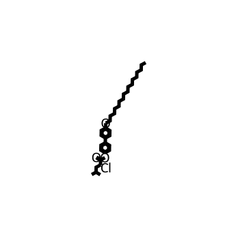 CCCCCCCCCCCCCCCCCOc1ccc(-c2ccc(OC(=O)C(Cl)CC(C)C)cc2)cc1